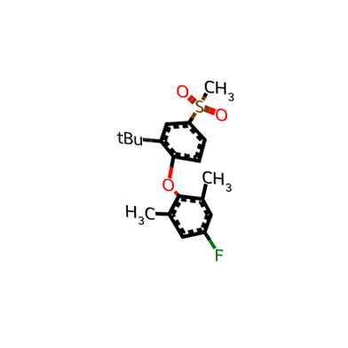 Cc1cc(F)cc(C)c1Oc1ccc(S(C)(=O)=O)cc1C(C)(C)C